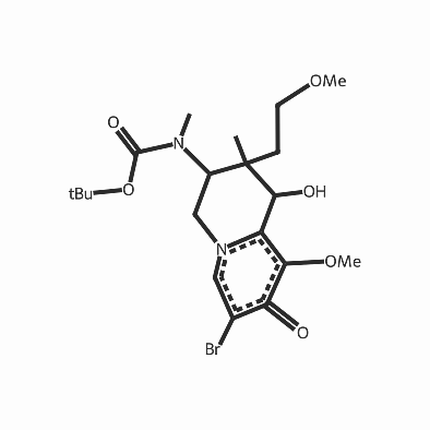 COCCC1(C)C(O)c2c(OC)c(=O)c(Br)cn2CC1N(C)C(=O)OC(C)(C)C